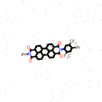 CC(C)c1cc(C(F)(F)F)c(N2C(=O)c3ccc4c5ccc6c7c(ccc(c8ccc(c3c48)C2=O)c75)C(=O)N(C(C)C)C6=O)cc1C(F)(F)F